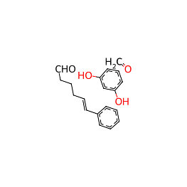 C=O.O=CCCCC=Cc1ccccc1.Oc1cccc(O)c1